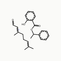 CC(C)=CCC/C(C)=C/C=O.CC(OC(=O)c1ccccc1O)c1ccccc1